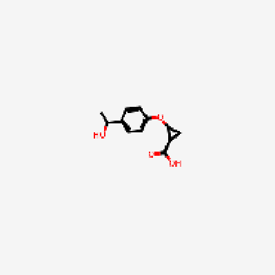 CC(O)c1ccc(OC2CC2C(=O)O)cc1